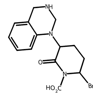 O=C(O)N1C(=O)C(N2CNCc3ccccc32)CCC1Br